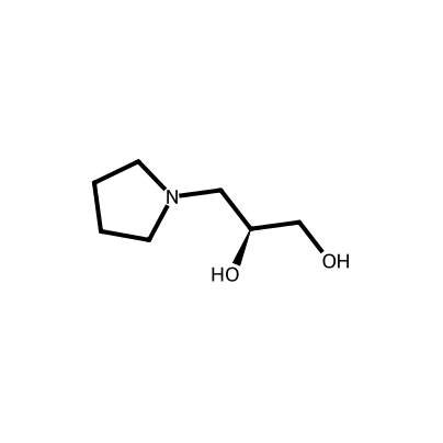 OC[C@@H](O)CN1CCCC1